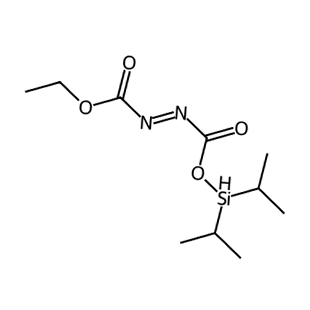 CCOC(=O)N=NC(=O)O[SiH](C(C)C)C(C)C